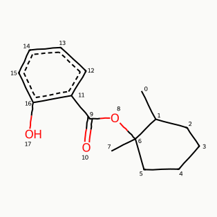 CC1CCCCC1(C)OC(=O)c1ccccc1O